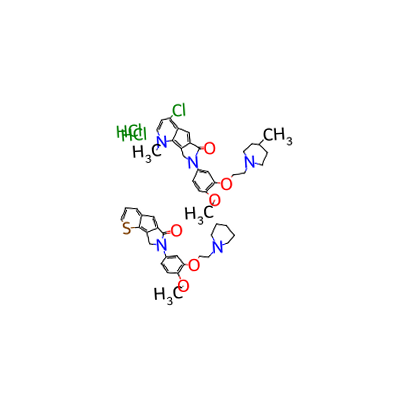 COc1ccc(N2Cc3c(cc4c(Cl)ccn(C)c3-4)C2=O)cc1OCCN1CCC(C)CC1.COc1ccc(N2Cc3c(cc4cccsc3-4)C2=O)cc1OCCN1CCCCC1.Cl.Cl